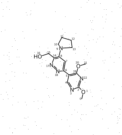 COc1ncc(-c2cc(N3CCCC3)c(CO)nn2)c(OC)n1